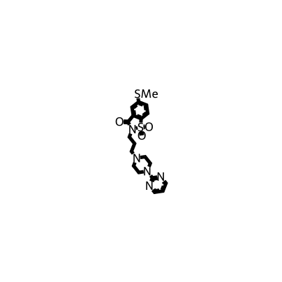 CSc1ccc2c(c1)C(=O)N(CCCN1CCN(c3ncccn3)CC1)S2(=O)=O